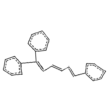 [C](=Cc1ccccc1)C=CC=C(c1ccccc1)c1ccccc1